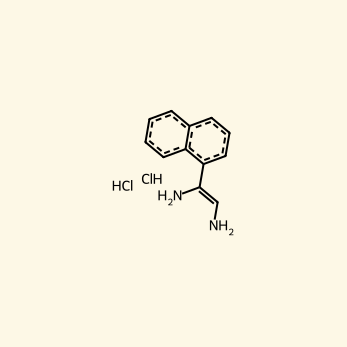 Cl.Cl.NC=C(N)c1cccc2ccccc12